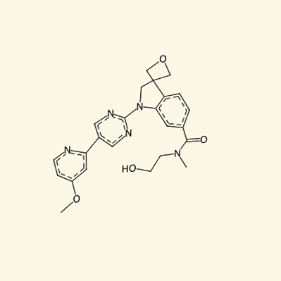 COc1ccnc(-c2cnc(N3CC4(COC4)c4ccc(C(=O)N(C)CCO)cc43)nc2)c1